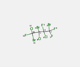 FC(F)(Br)C(F)(Cl)C(Cl)(Br)C(F)(Cl)Br